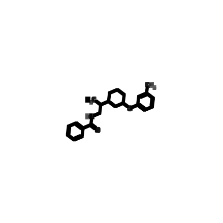 Cc1cccc(OC2CCCC(C(C)CNC(=O)c3ccccc3)C2)c1